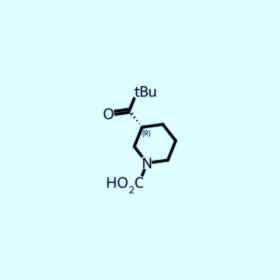 CC(C)(C)C(=O)[C@@H]1CCCN(C(=O)O)C1